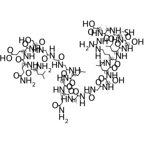 CC(C)C[C@H](NC(=O)CNC(=O)CNC(=O)CNC(=O)[C@H](CO)NC(=O)[C@H](CCC(=O)O)NC(=O)[C@H](CCC(N)=O)NC(=O)[C@@H](N)CC(C)C)C(=O)N[C@@H](C)C(=O)N[C@@H](CCC(N)=O)C(=O)N[C@@H](C)C(=O)NCC(=O)NCC(=O)N[C@@H](CO)C(=O)N[C@@H](CC(C)C)C(=O)N[C@@H](CCCNC(=N)N)C(=O)N[C@@H](CC(C)C)C(=O)N[C@@H](CO)C(=O)N[C@@H](CS)C(=O)N[C@@H](C)C(=O)N[C@@H](C)C(=O)O